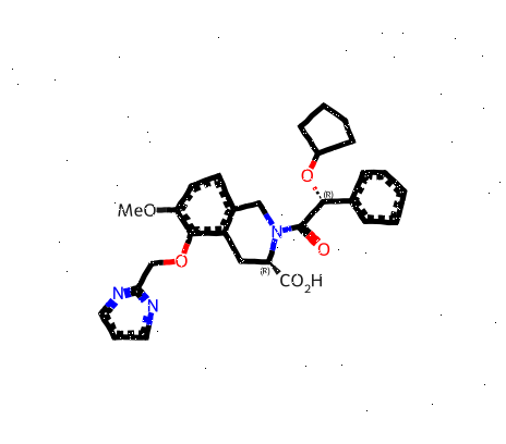 COc1ccc2c(c1OCc1ncccn1)C[C@H](C(=O)O)N(C(=O)[C@H](OC1CCCC1)c1ccccc1)C2